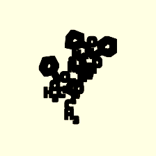 CC[C@H]1O[C@@H](n2cnc3c(N(C(=O)c4ccccc4)C(=O)c4ccccc4)ncnc32)[C@@H](OC(=O)c2ccccc2)[C@@H]1C